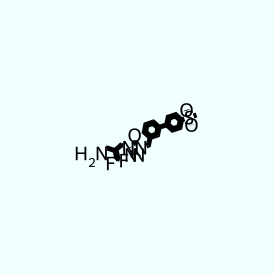 CS(=O)(=O)c1ccc(-c2cccc(Cn3nnn(CC(CN)=C(F)F)c3=O)c2)cc1